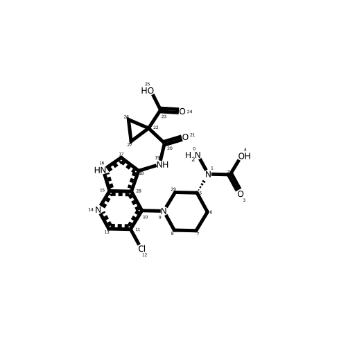 NN(C(=O)O)[C@@H]1CCCN(c2c(Cl)cnc3[nH]cc(NC(=O)C4(C(=O)O)CC4)c23)C1